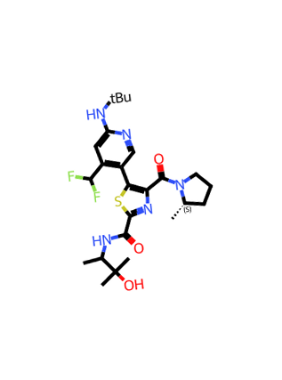 CC(NC(=O)c1nc(C(=O)N2CCC[C@@H]2C)c(-c2cnc(NC(C)(C)C)cc2C(F)F)s1)C(C)(C)O